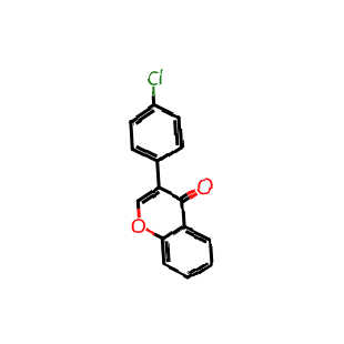 O=c1c(-c2ccc(Cl)cc2)coc2ccccc12